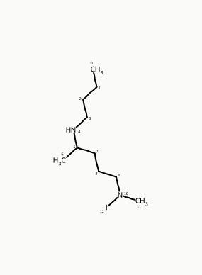 CCCCNC(C)CCCN(C)I